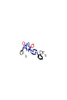 Cn1c(=O)c(N2CCN(c3ccccc3C(F)(F)F)CC2)nn(CCCC(F)(F)F)c1=O